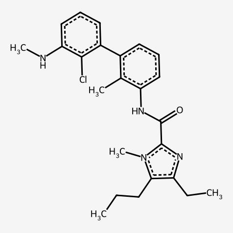 CCCc1c(CC)nc(C(=O)Nc2cccc(-c3cccc(NC)c3Cl)c2C)n1C